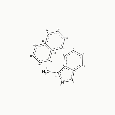 Cn1ncc2ccccc21.c1ccc2ncccc2c1